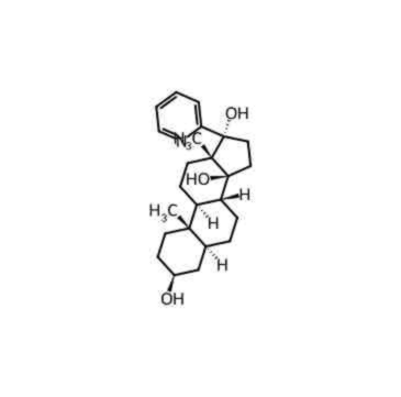 C[C@]12CC[C@H](O)C[C@@H]1CC[C@@H]1[C@@H]2CC[C@]2(C)[C@@](O)(c3ccccn3)CC[C@]12O